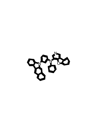 c1ccc(N(c2cccc(-n3c4ccccc4c4cc5ccccc5cc43)c2)c2cncc3c2oc2ccccc23)cc1